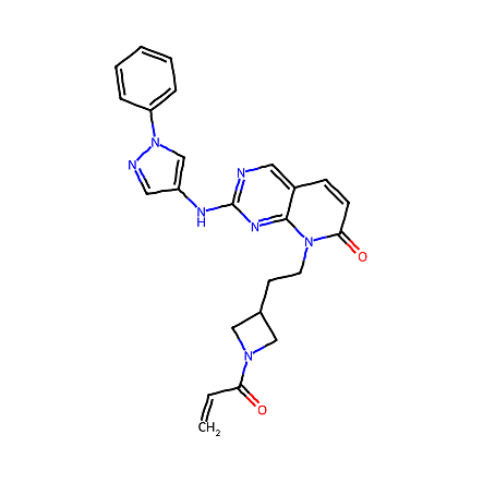 C=CC(=O)N1CC(CCn2c(=O)ccc3cnc(Nc4cnn(-c5ccccc5)c4)nc32)C1